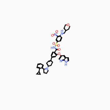 O=C(NS(=O)(=O)c1ccc(NCC2CCOCC2)c([N+](=O)[O-])c1)c1ccc(C2=CCC(N3CCCC3c3ccccc3C3CC3)CC2)cc1Oc1cnc2[nH]ccc2c1